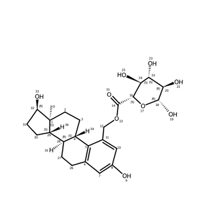 C[C@]12CC[C@@H]3c4c(cc(O)cc4COC(=O)[C@H]4O[C@@H](O)[C@H](O)[C@@H](O)[C@@H]4O)CC[C@H]3[C@@H]1CC[C@H]2O